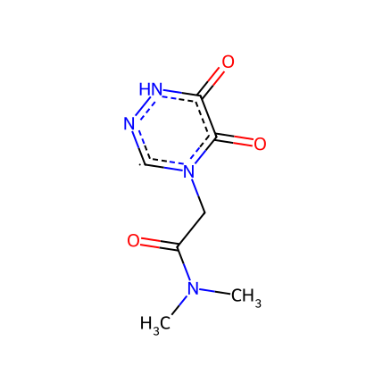 CN(C)C(=O)Cn1[c]n[nH]c(=O)c1=O